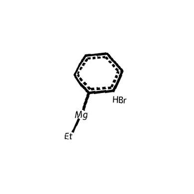 Br.C[CH2][Mg][c]1ccccc1